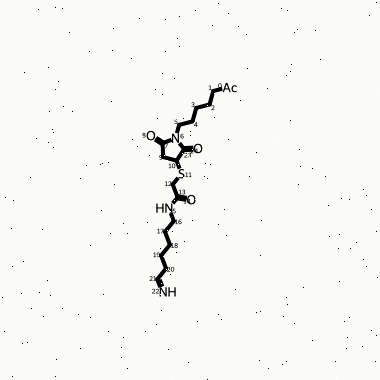 CC(=O)CCCCCN1C(=O)CC(SCC(=O)NCCCCCC=N)C1=O